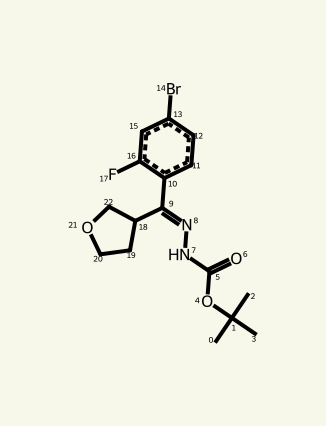 CC(C)(C)OC(=O)NN=C(c1ccc(Br)cc1F)C1CCOC1